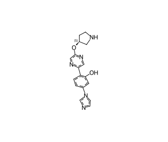 Oc1cc(-n2ccnc2)ccc1-c1cnc(O[C@H]2CCNC2)cn1